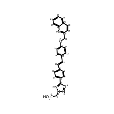 O=C(O)Cn1nnc(-c2ccc(C=Cc3ccc(OCc4ccc5ccccc5n4)cc3)cc2)n1